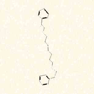 C[C@@H](CNCCCCCCCNC[C@H](C)c1ccccc1)c1ccccc1